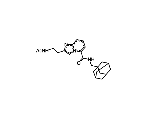 CC(=O)NCCc1cn2c(C(=O)NCC34CC5CC(CC(C5)C3)C4)cccc2n1